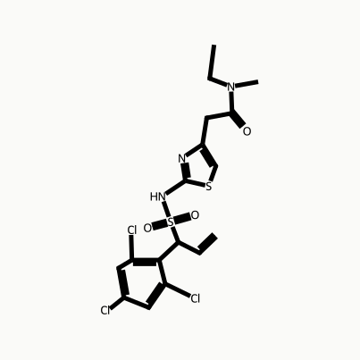 C=CC(c1c(Cl)cc(Cl)cc1Cl)S(=O)(=O)Nc1nc(CC(=O)N(C)CC)cs1